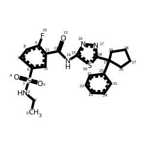 CCNS(=O)(=O)c1ccc(F)c(C(=O)Nc2nnc(C3(c4ccccc4)CCCC3)s2)c1